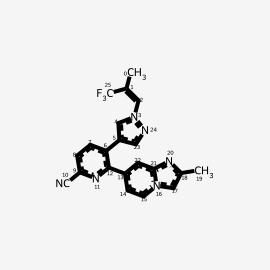 C/C(=C/n1cc(-c2ccc(C#N)nc2-c2ccn3cc(C)nc3c2)cn1)C(F)(F)F